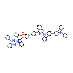 c1ccc(-c2nc(-n3c4ccccc4c4c5c6ccc(-c7ccc(-c8nc(-n9c%10ccccc%10c%10cc(-c%11ccc%12c(c%11)c%11ccccc%11n%12-c%11ccccc%11)ccc%109)nc9ccccc89)cc7)cc6oc5c5ccccc5c43)nc3ccccc23)cc1